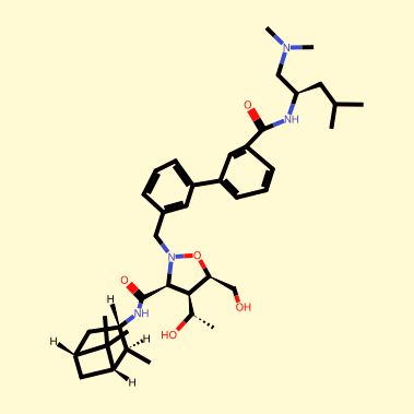 CC(C)C[C@H](CN(C)C)NC(=O)c1cccc(-c2cccc(CN3O[C@@H](CO)[C@@H]([C@H](C)O)[C@H]3C(=O)N[C@H]3C[C@H]4C[C@@H]([C@@H]3C)C4(C)C)c2)c1